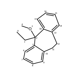 CCC1(OC)c2ccccc2CCc2ccccc21